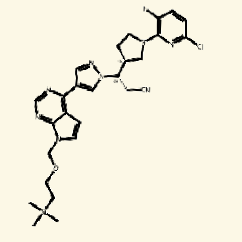 C[Si](C)(C)CCOCn1ccc2c(-c3cnn([C@@H](CC#N)[C@H]4CCN(c5nc(Cl)ccc5F)C4)c3)ncnc21